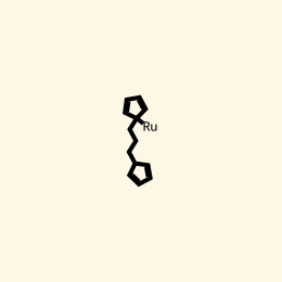 [Ru][C]1(CCCC2C=CC=C2)C=CC=C1